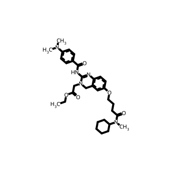 CCOC(=O)CN1Cc2cc(OCCCC(=O)N(C)C3CCCCC3)ccc2N=C1NC(=O)c1ccc(N(C)C)cc1